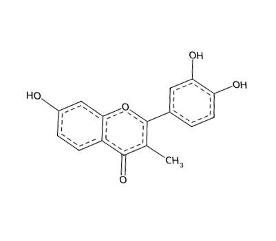 Cc1c(-c2ccc(O)c(O)c2)oc2cc(O)ccc2c1=O